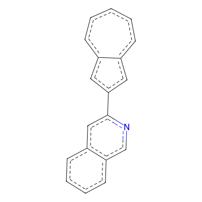 c1ccc2cc(-c3cc4ccccc4cn3)cc-2cc1